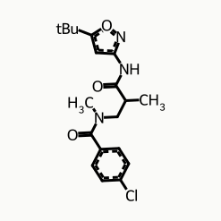 CC(CN(C)C(=O)c1ccc(Cl)cc1)C(=O)Nc1cc(C(C)(C)C)on1